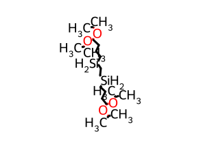 CC(C)OC(CCC[SiH2]CC[SiH2]CCCC(OC(C)C)OC(C)C)OC(C)C